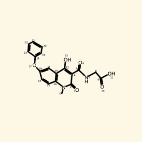 Cn1c(=O)c(C(=O)NCC(=O)O)c(O)c2cc(Oc3ccccc3)ccc21